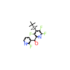 CC(C)(C)[Si](C)(C)c1c(F)c(F)nc(C(=O)c2cccnc2F)c1F